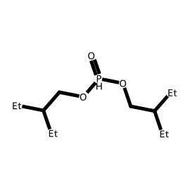 CCC(CC)CO[PH](=O)OCC(CC)CC